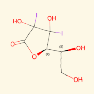 O=C1O[C@H]([C@@H](O)CO)C(O)(I)C1(O)I